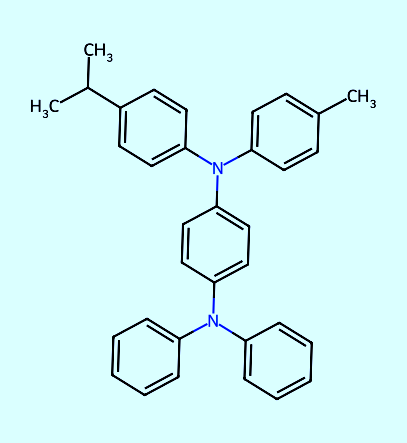 Cc1ccc(N(c2ccc(C(C)C)cc2)c2ccc(N(c3ccccc3)c3ccccc3)cc2)cc1